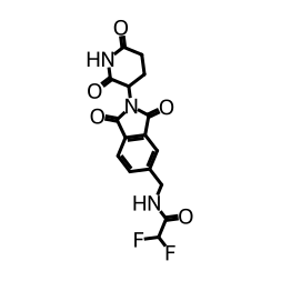 O=C1CCC(N2C(=O)c3ccc(CNC(=O)C(F)F)cc3C2=O)C(=O)N1